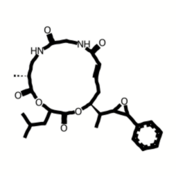 CC(C)CC1OC(=O)[C@H](C)CNC(=O)CNC(=O)/C=C/C[C@@H](C(C)C2OC2c2ccccc2)OC1=O